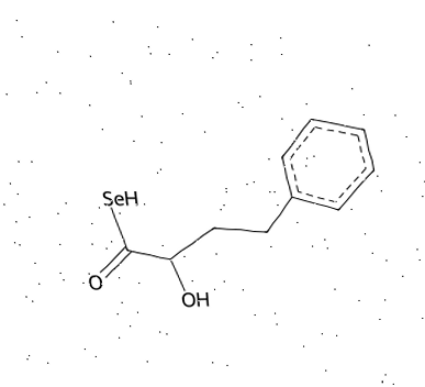 O=C([SeH])C(O)CCc1ccccc1